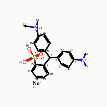 CN(C)c1ccc(C(c2ccc(N(C)C)cc2)c2ccccc2S(=O)(=O)[O-])cc1.[Na+]